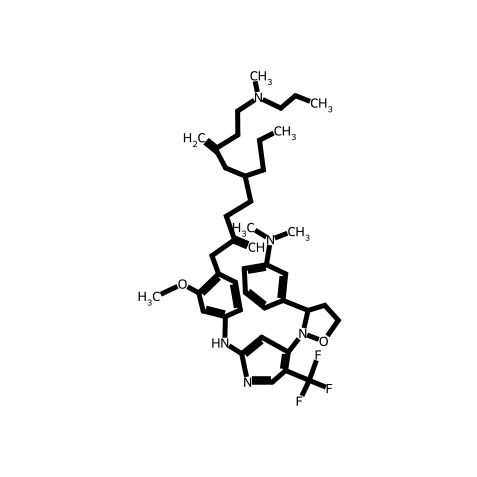 C=C(CCC(CCC)CC(=C)CCN(C)CCC)Cc1ccc(Nc2cc(N3OCCC3c3cccc(N(C)C)c3)c(C(F)(F)F)cn2)cc1OC